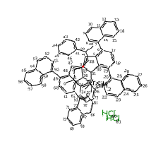 CC(CC1=Cc2c(-c3cccc4ccccc34)ccc(-c3cccc4ccccc34)c2[CH]1[Zr]([CH3])([CH3])(=[SiH2])[CH]1C(CC(C)c2ccccc2)=Cc2c(-c3cccc4ccccc34)ccc(-c3cccc4ccccc34)c21)c1ccccc1.Cl.Cl